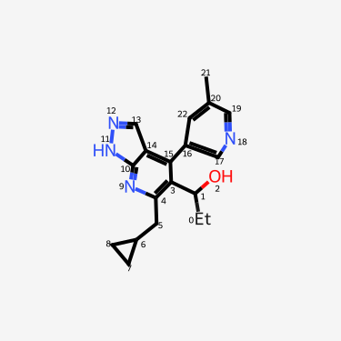 CCC(O)c1c(CC2CC2)nc2[nH]ncc2c1-c1cncc(C)c1